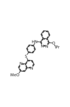 COc1cnc2c(Sc3ccc(Nc4nnc(OC(C)C)c5ccccc45)cc3)ccnc2c1